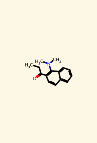 CCC(=O)c1ccc2ccccc2c1N(C)C